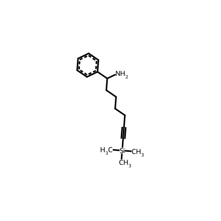 C[Si](C)(C)C#CCCCCC(N)c1ccccc1